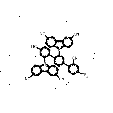 N#Cc1ccc(-c2ccc(-c3ccc(C(F)(F)F)cc3C#N)cc2-n2c3ccc(C#N)cc3c3cc(C#N)ccc32)c(-n2c3ccc(C#N)cc3c3cc(C#N)ccc32)c1